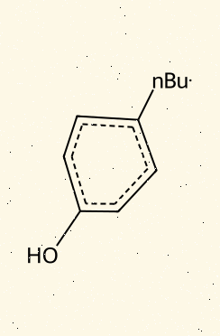 [CH2]CC[CH]c1ccc(O)cc1